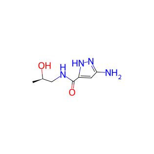 C[C@@H](O)CNC(=O)c1cc(N)n[nH]1